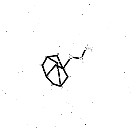 NOOC12CC3CC(CC(C3)C1)C2